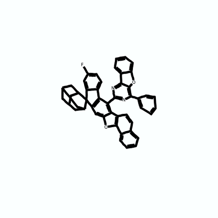 Fc1ccc2c(c1)C1(c3cc4oc5c6ccccc6ccc5c4c(-c4nc(-c5ccccc5)c5oc6ccccc6c5n4)c3-2)C2CC3CC(C2)CC1C3